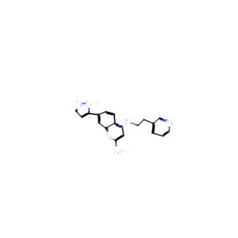 Nc1cc(NCCc2cccnc2)c2ccc(-c3ccn[nH]3)cc2n1